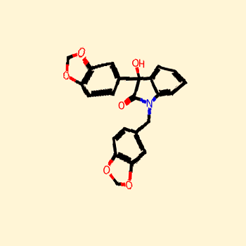 O=C1N(Cc2ccc3c(c2)OCO3)c2ccccc2C1(O)c1ccc2c(c1)OCO2